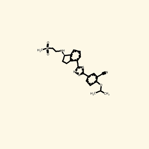 CC(C)Oc1ccc(-c2nnc(-c3cccc4c3CC[C@H]4NCCS(C)(=O)=O)s2)cc1C#N